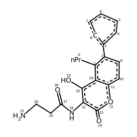 CCCc1c(-c2ccccc2)ccc2oc(=O)c(NC(=O)CCN)c(O)c12